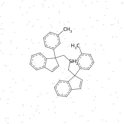 Cc1cccc(C2(C[SiH2]CC3(c4cccc(C)c4)C=Cc4ccccc43)C=Cc3ccccc32)c1